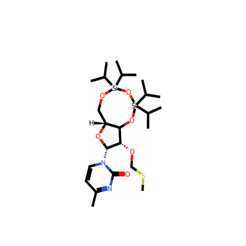 CSCO[C@H]1C2O[Si](C(C)C)(C(C)C)O[Si](C(C)C)(C(C)C)OC[C@H]2O[C@H]1n1ccc(C)nc1=O